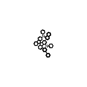 C1=CCC(N(c2cccc3ccccc23)C2C=CC3=C(C2)C2(C4=C3C=CCC4)C3C=CC=C(N(C4=CCCCC4)c4cccc(-c5ccccc5)c4)C3C3C=CCCC32)C=C1